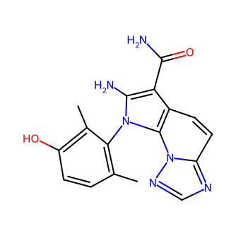 Cc1ccc(O)c(C)c1-n1c(N)c(C(N)=O)c2ccc3ncnn3c21